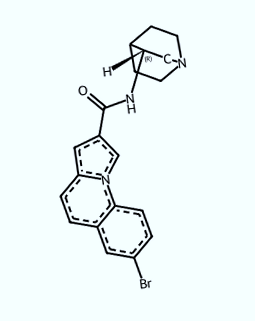 O=C(N[C@H]1CN2CCC1CC2)c1cc2ccc3cc(Br)ccc3n2c1